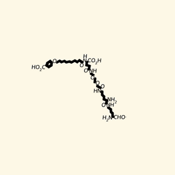 N[C@H]([C]=O)CCCCNC(=O)[C@@H](N)CCCCNC(=O)COCCOCCNC(=O)CC[C@H](NC(=O)CCCCCCCCCCOc1ccc(C(=O)O)cc1)C(=O)O